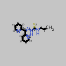 C=CCNC(=S)NN=C(c1ccccn1)c1ccccn1